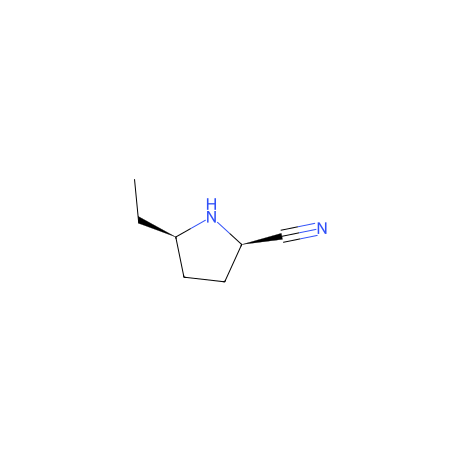 CC[C@@H]1CC[C@H](C#N)N1